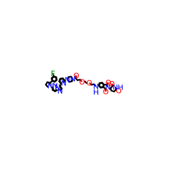 O=C1CCC(N2C(=O)c3ccc(NCCOCCOCCC(=O)N4CCN(c5cccc(-c6cnc7ccc(N8CCCC8c8cccc(F)c8)nn67)n5)CC4)cc3C2=O)C(=O)N1